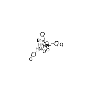 COc1ccc(CCNC(=O)C(NC(=O)[C@H](Br)Cc2ccccc2)C(=O)NCCc2ccc(OC)cc2)cc1